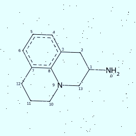 NC1Cc2cccc3c2N(CCC3)C1